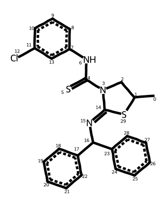 CC1CN(C(=S)Nc2cccc(Cl)c2)C(=NC(c2ccccc2)c2ccccc2)S1